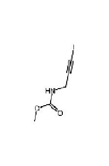 COC(=O)NCC#CI